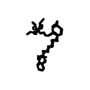 CCO[Si](CCCc1cc(C)ccc1SSSSSSc1nc2ccccc2s1)(OCC)OCC